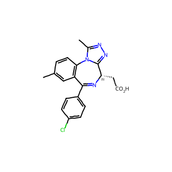 Cc1ccc2c(c1)C(c1ccc(Cl)cc1)=N[C@@H](CC(=O)O)c1nnc(C)n1-2